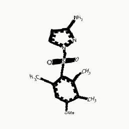 COc1cc(C)c(S(=O)(=O)n2ccc(N)n2)c(C)c1C